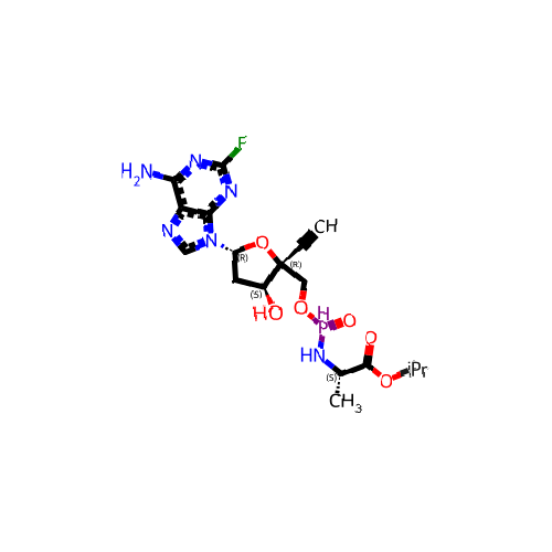 C#C[C@]1(CO[PH](=O)N[C@@H](C)C(=O)OC(C)C)O[C@@H](n2cnc3c(N)nc(F)nc32)C[C@@H]1O